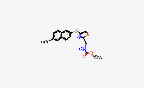 CCCc1ccc2cc(Sc3csc(CNC(=O)OC(C)(C)C)n3)ccc2c1